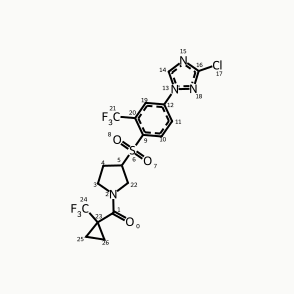 O=C(N1CCC(S(=O)(=O)c2ccc(-n3cnc(Cl)n3)cc2C(F)(F)F)C1)C1(C(F)(F)F)CC1